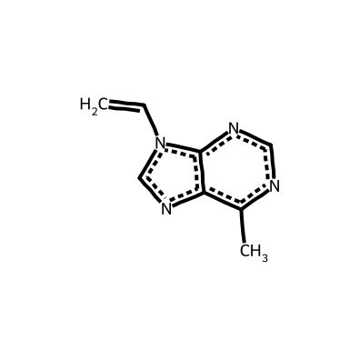 C=Cn1cnc2c(C)ncnc21